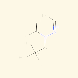 C/C=N\N(CC(C)(C)C)C(C)C